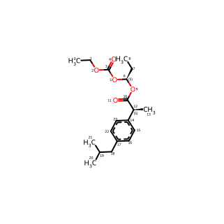 CCOC(=O)O[C@@H](CC)OC(=O)[C@@H](C)c1ccc(CC(C)C)cc1